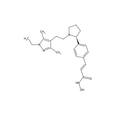 CCn1nc(C)c(CCN2CCC[C@H]2c2ccc(/C=C/C(=O)NO)cc2)c1C